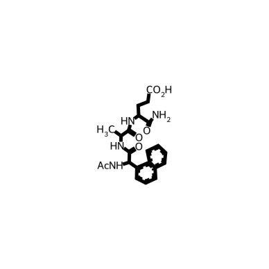 CC(=O)NC(C(=O)NC(C)C(=O)NC(CCC(=O)O)C(N)=O)c1cccc2ccccc12